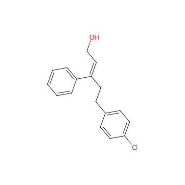 OC/C=C(/CCc1ccc(Cl)cc1)c1ccccc1